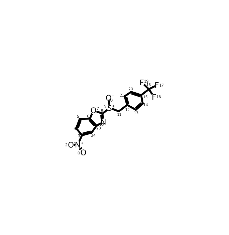 O=[N+]([O-])c1ccc2oc([S+]([O-])Cc3ccc(C(F)(F)F)cc3)nc2c1